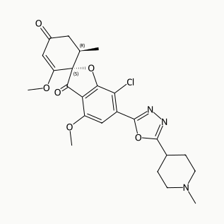 COC1=CC(=O)C[C@@H](C)[C@]12Oc1c(Cl)c(-c3nnc(C4CCN(C)CC4)o3)cc(OC)c1C2=O